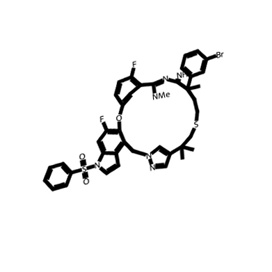 CN/C1=N\C(=N)C(C)(c2cccc(Br)c2)CCSCC(C)(C)c2cnn(c2)Cc2c(c(F)cc3c2ccn3S(=O)(=O)c2ccccc2)Oc2ccc(F)c1c2